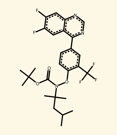 CC(C)CC(C)(C)N(Oc1ccc(-c2ncnc3cc(F)c(F)cc23)cc1C(F)(F)F)C(=O)OC(C)(C)C